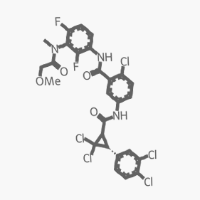 COCC(=O)N(C)c1c(F)ccc(NC(=O)c2cc(NC(=O)C3[C@H](c4ccc(Cl)c(Cl)c4)C3(Cl)Cl)ccc2Cl)c1F